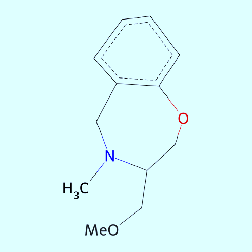 COCC1COc2ccccc2CN1C